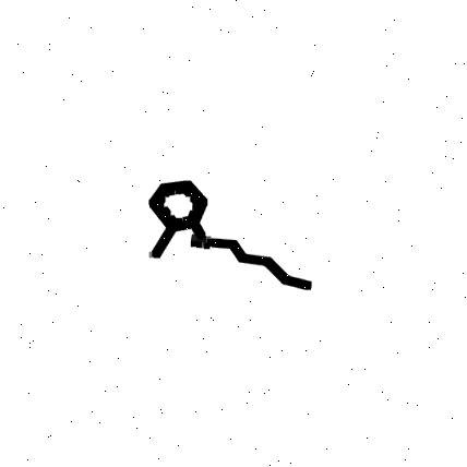 [CH2]c1ccccc1NCCCCC